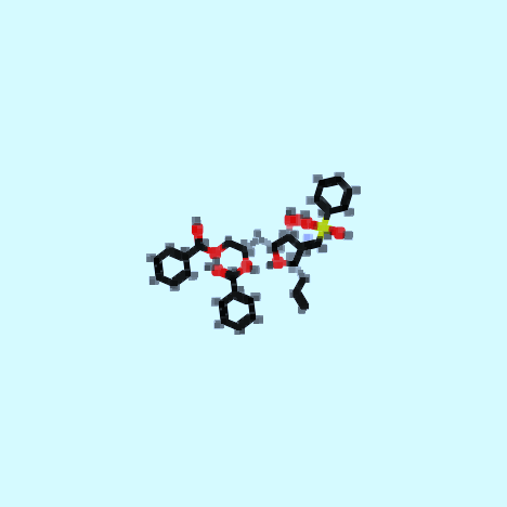 C=CC[C@@H]1O[C@H](C[C@@H](COC(=O)c2ccccc2)OC(=O)c2ccccc2)[C@H](O)/C1=C\S(=O)(=O)c1ccccc1